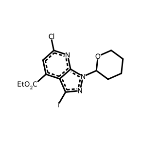 CCOC(=O)c1cc(Cl)nc2c1c(I)nn2C1CCCCO1